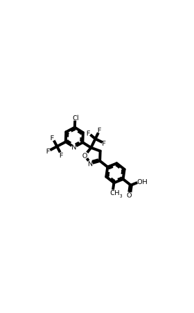 Cc1cc(C2=NOC(c3cc(Cl)cc(C(F)(F)F)n3)(C(F)(F)F)C2)ccc1C(=O)O